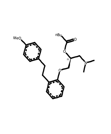 CCCCC(=O)O[C@H](COc1ccccc1CCc1ccc(OC)cc1)CN(C)C